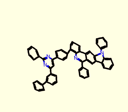 c1ccc(-c2cccc(-c3cc(-c4ccc(-c5cccc6c5nc(-c5ccccc5)c5cc7c8ccccc8n(-c8ccccc8)c7cc56)cc4)nc(-c4ccccc4)n3)c2)cc1